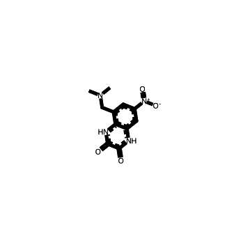 CN(C)Cc1cc([N+](=O)[O-])cc2[nH]c(=O)c(=O)[nH]c12